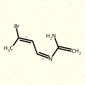 C=C(N)/N=C\C=C(/C)Br